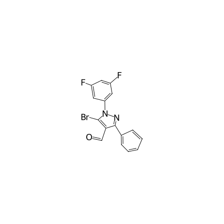 O=Cc1c(-c2ccccc2)nn(-c2cc(F)cc(F)c2)c1Br